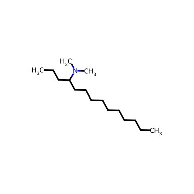 CCCCCCCCCCC(CCC)N(C)C